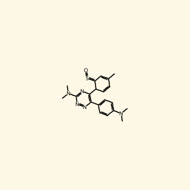 CC1=CC(=S=O)C(c2nc(N(C)C)nnc2-c2ccc(N(C)C)cc2)C=C1